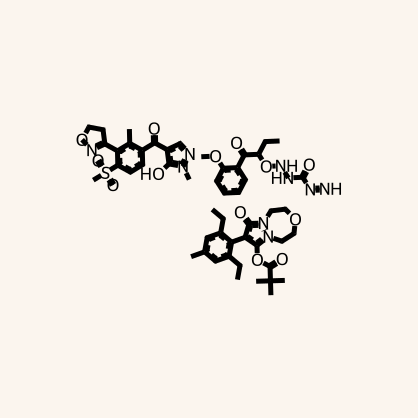 CCC(ONNC(=O)N=N)C(=O)c1ccccc1OC.CCc1cc(C)cc(CC)c1-c1c(OC(=O)C(C)(C)C)n2n(c1=O)CCOCC2.Cc1c(C(=O)c2cnn(C)c2O)ccc(S(C)(=O)=O)c1C1=NOCC1